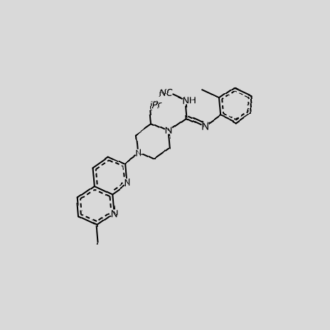 Cc1ccc2ccc(N3CCN(C(=Nc4ccccc4C)NC#N)C(C(C)C)C3)nc2n1